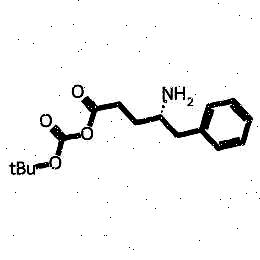 CC(C)(C)OC(=O)OC(=O)CC[C@H](N)Cc1ccccc1